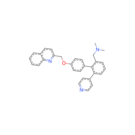 CN(C)Cc1cccc(-c2ccncc2)c1-c1ccc(OCc2ccc3ccccc3n2)cc1